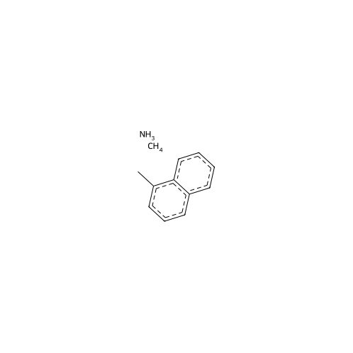 C.Cc1cccc2ccccc12.N